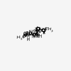 Cc1cc(F)cc(-c2cccc3[nH]c(-c4n[nH]c5cnc(-c6cncc(NC(=O)CN(C)C)c6)cc45)nc23)c1